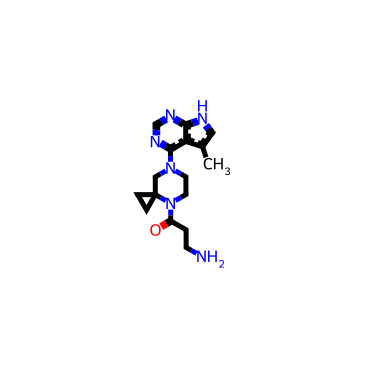 Cc1c[nH]c2ncnc(N3CCN(C(=O)CCN)C4(CC4)C3)c12